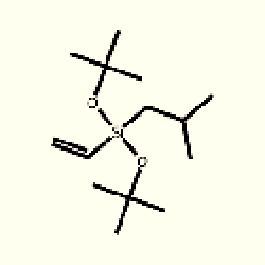 C=C[Si](CC(C)C)(OC(C)(C)C)OC(C)(C)C